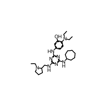 CCN(CC)c1ccc(Nc2nc(NCC3CCCN3CC)nc(NC3CCCCCC3)n2)cc1O